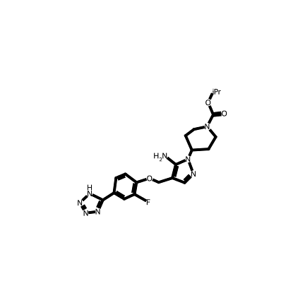 CC(C)OC(=O)N1CCC(n2ncc(COc3ccc(-c4nnn[nH]4)cc3F)c2N)CC1